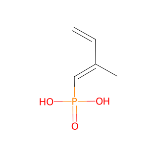 C=CC(C)=CP(=O)(O)O